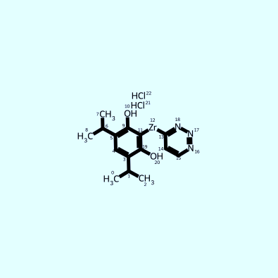 CC(C)c1cc(C(C)C)c(O)[c]([Zr][c]2ccnnn2)c1O.Cl.Cl